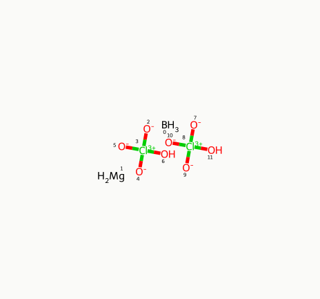 B.[MgH2].[O-][Cl+3]([O-])([O-])O.[O-][Cl+3]([O-])([O-])O